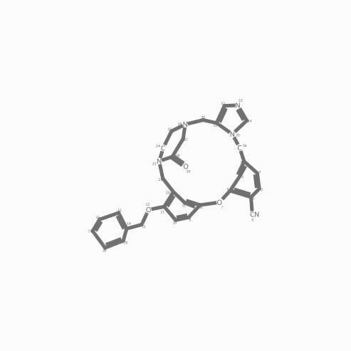 N#Cc1ccc2cc1Oc1ccc(OCc3ccccc3)c(c1)CN1CCN(CC1=O)Cc1cncn1C2